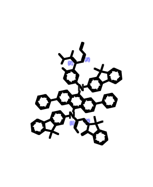 C=C/C=C\C(=C(/C)C(C)C)c1cc(N(c2ccc3c(c2)C(C)(C)c2ccccc2-3)c2c3ccc(-c4ccccc4)cc3c(N(C(/C=C3\C(=C)c4ccccc4C3(C)C)=C/C)c3ccc4c(c3)C(C)(C)c3ccccc3-4)c3ccc(-c4ccccc4)cc23)ccc1C